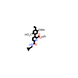 C=Cc1cc(C(=O)O)c(-c2ccc(C(=O)NCC3CC3)nc2C(=O)OCCC)cc1OC